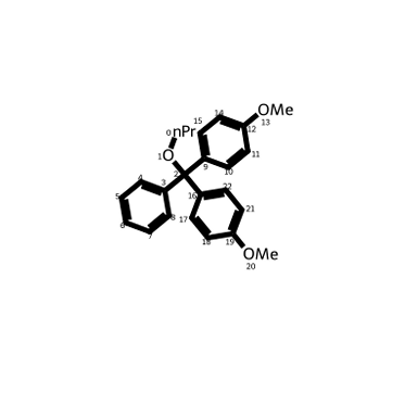 C[CH]COC(c1ccccc1)(c1ccc(OC)cc1)c1ccc(OC)cc1